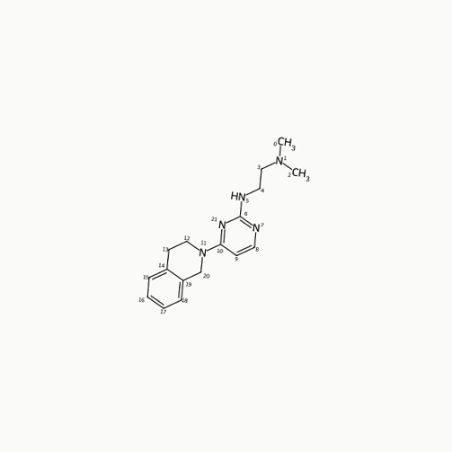 CN(C)CCNc1nccc(N2CCc3ccccc3C2)n1